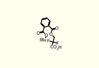 CC(C)(C)OC(=O)c1ccccc1C(=O)OCC(F)(F)C(=O)O